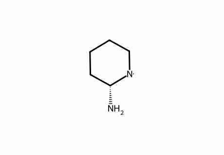 N[C@@H]1CCCC[N]1